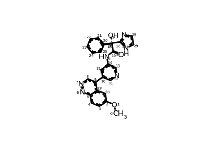 COc1ccc2nncc(-c3cncc(NC(=O)[C@@](O)(c4ccccc4)c4ncc[nH]4)c3)c2c1